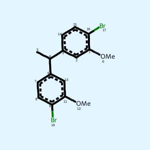 COc1cc(C(C)c2ccc(Br)c(OC)c2)ccc1Br